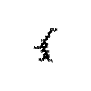 CC(=O)Nc1cc(NCCOCCC(=O)O)ccc1C(=O)Nc1nc(C)c(N)s1